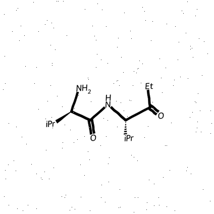 CCC(=O)[C@@H](NC(=O)[C@H](N)C(C)C)C(C)C